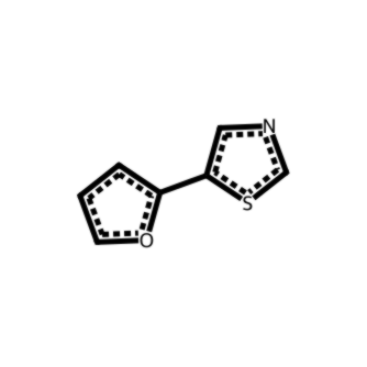 c1coc(-c2cncs2)c1